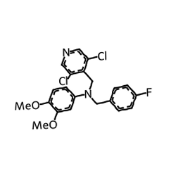 COc1ccc(N(Cc2ccc(F)cc2)Cc2c(Cl)cncc2Cl)cc1OC